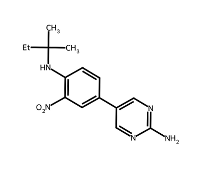 CCC(C)(C)Nc1ccc(-c2cnc(N)nc2)cc1[N+](=O)[O-]